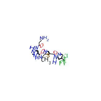 CC(NC(=O)c1cc(NC(=O)CCN)ncn1)c1ncc(C(=O)Nc2cc(C(F)(F)F)c(Cl)cn2)s1